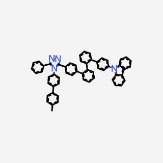 Cc1ccc(-c2ccc(-n3c(-c4ccccc4)nnc3-c3ccc(-c4ccccc4-c4ccccc4-c4ccc(-n5c6ccccc6c6ccccc65)cc4)cc3)cc2)cc1